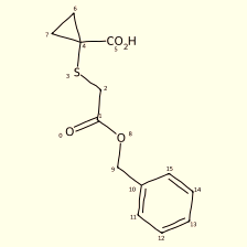 O=C(CSC1(C(=O)O)CC1)OCc1ccccc1